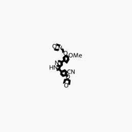 COc1ccc(-c2cnc3[nH]cc(-c4ccc(OC5CCOCC5)c(C#N)c4)c3c2)cc1OCCN1CCOCC1